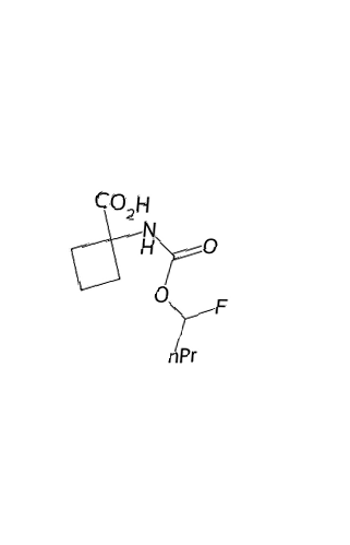 CCCC(F)OC(=O)NC1(C(=O)O)CCC1